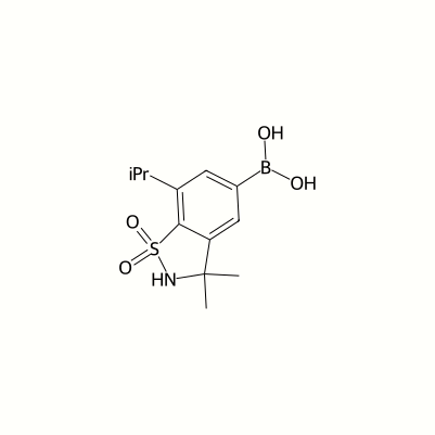 CC(C)c1cc(B(O)O)cc2c1S(=O)(=O)NC2(C)C